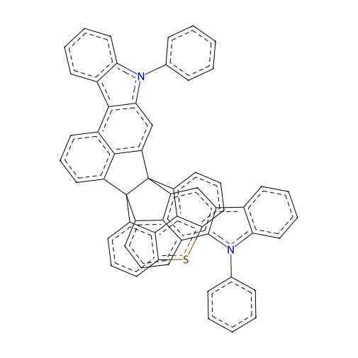 c1ccc(-n2c3ccccc3c3c4cccc5c4c(cc32)C23c4cc6c7ccccc7n(-c7ccccc7)c6c6cccc(c46)C52c2cccc4sc5cccc3c5c24)cc1